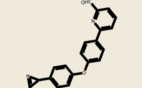 O=Cc1cccc(-c2ccc(Oc3ccc(C4C=N4)cc3)cc2)n1